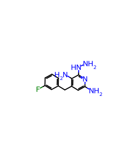 NNc1nc(N)cc(Cc2cccc(F)c2)c1N